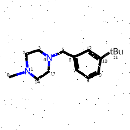 CN1CCN(Cc2cccc(C(C)(C)C)c2)CC1